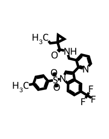 CCC1(C(=O)NCc2cccnc2-c2cn(S(=O)(=O)c3ccc(C)cc3)c3ccc(C(F)(F)F)cc23)CC1